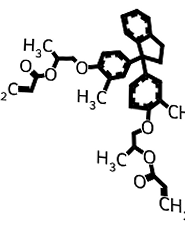 C=CC(=O)OC(C)COc1ccc(C2(c3ccc(OCC(C)OC(=O)C=C)c(C)c3)CCc3ccccc32)cc1C